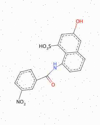 O=C(Nc1cccc2cc(O)cc(S(=O)(=O)O)c12)c1cccc([N+](=O)[O-])c1